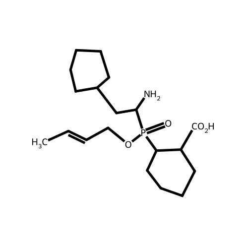 CC=CCOP(=O)(C(N)CC1CCCCC1)C1CCCCC1C(=O)O